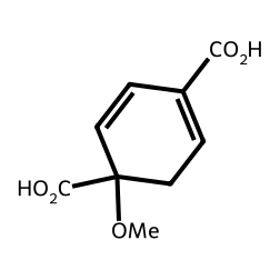 COC1(C(=O)O)C=CC(C(=O)O)=CC1